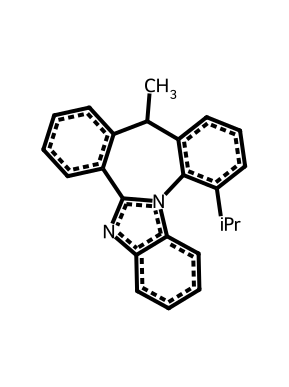 CC(C)c1cccc2c1-n1c(nc3ccccc31)-c1ccccc1C2C